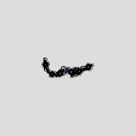 C/C(C(=O)N1CCN(Cc2ccc(CCOc3ccc(F)cc3)cc2)CC1)=C(/C)c1cc(C)c(Oc2ccc(OCc3ccc(C)cc3)cn2)c(Cl)c1